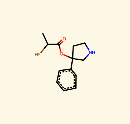 CC(S)C(=O)OC1(c2ccccc2)CCNC1